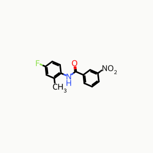 Cc1cc(F)ccc1NC(=O)c1cccc([N+](=O)[O-])c1